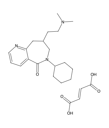 CN(C)CCC1Cc2ncccc2C(=O)N(C2CCCCC2)C1.O=C(O)C=CC(=O)O